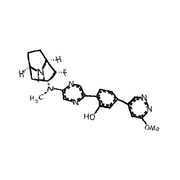 COc1cc(-c2ccc(-c3cnc(N(C)[C@@H]4C[C@H]5CC[C@H](N5)[C@@H]4F)cn3)c(O)c2)cnn1